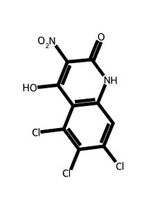 O=c1[nH]c2cc(Cl)c(Cl)c(Cl)c2c(O)c1[N+](=O)[O-]